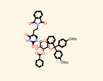 COc1ccc(C(O[C@@H]2CO[C@@H](n3cc(CCN4C(=O)c5ccccc5C4=O)c(=O)[nH]c3=O)[C@H](O)[C@@H]2OC(=O)c2ccccc2)(c2ccccc2)c2ccc(OC)cc2)cc1